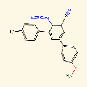 COc1ccc(-c2cc(C#N)c(N=[N+]=[N-])c(-c3ccc(C)cc3)c2)cc1